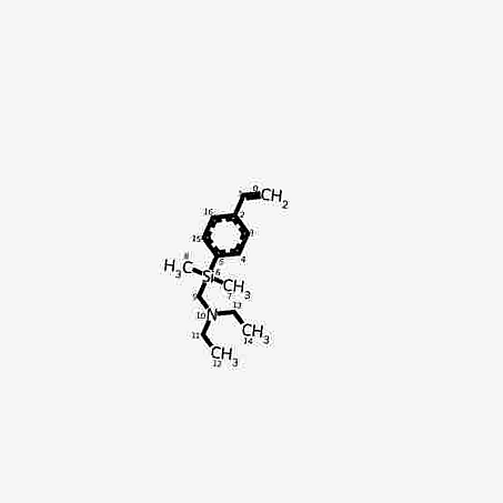 C=Cc1ccc([Si](C)(C)CN(CC)CC)cc1